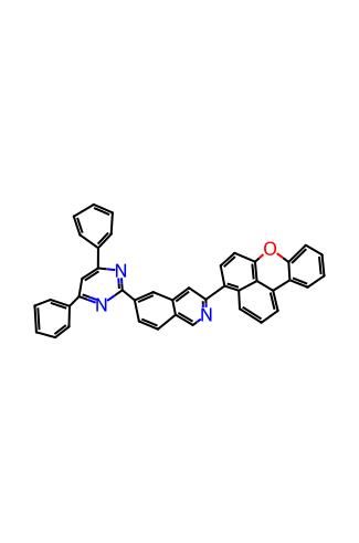 c1ccc(-c2cc(-c3ccccc3)nc(-c3ccc4cnc(-c5ccc6c7c(cccc57)-c5ccccc5O6)cc4c3)n2)cc1